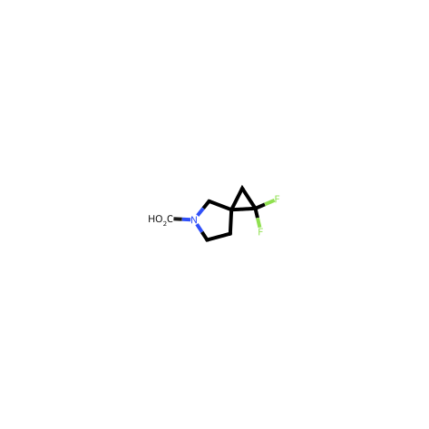 O=C(O)N1CCC2(C1)CC2(F)F